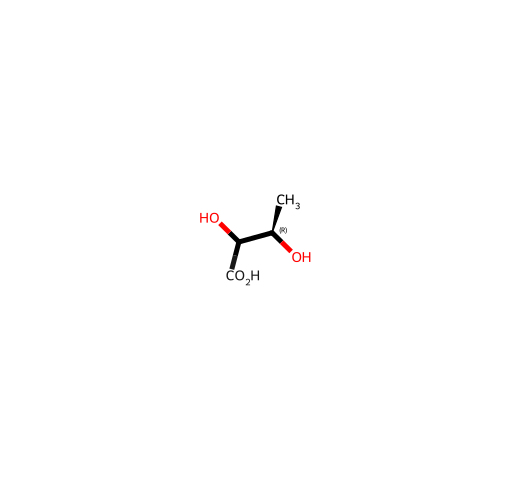 C[C@@H](O)C(O)C(=O)O